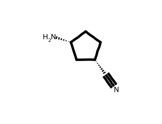 N#C[C@H]1CC[C@@H](N)C1